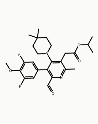 COc1c(F)cc(-c2c(C=O)nc(C)c(CC(=O)OC(C)C)c2N2CCC(C)(C)CC2)cc1F